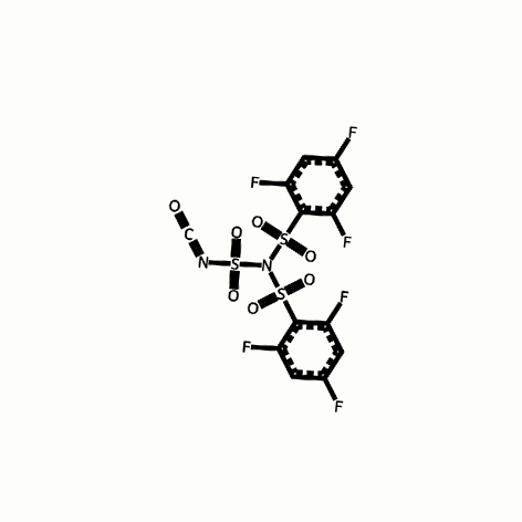 O=C=NS(=O)(=O)N(S(=O)(=O)c1c(F)cc(F)cc1F)S(=O)(=O)c1c(F)cc(F)cc1F